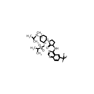 CC(C)N(C)[C@@H]1CC[C@H](N2CCC(Nc3ncnc4ccc(C(F)(F)F)cc34)C2=O)[C@H](CS(=O)(=O)C(C)C)C1